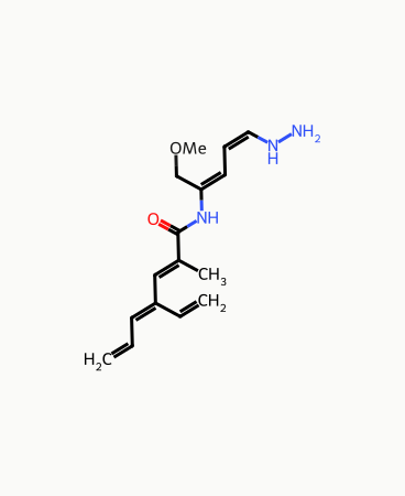 C=C/C=C(C=C)/C=C(\C)C(=O)N/C(=C/C=C\NN)COC